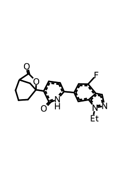 CCn1ncc2c(F)cc(-c3ccc(C45CCCC(C4)C(=O)O5)c(=O)[nH]3)cc21